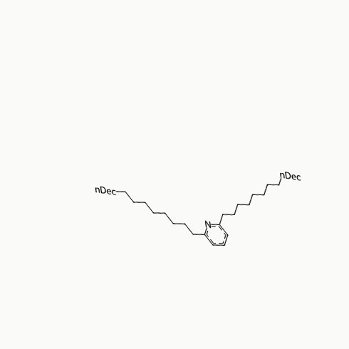 CCCCCCCCCCCCCCCCCCc1cccc(CCCCCCCCCCCCCCCCCC)n1